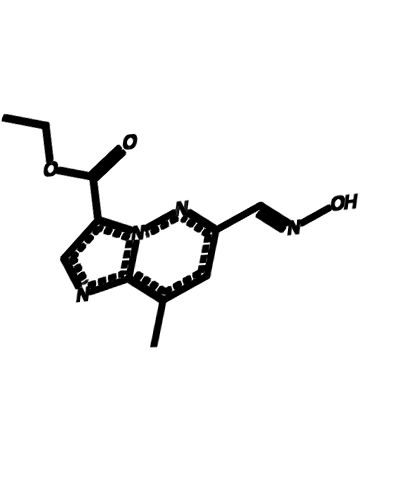 CCOC(=O)c1cnc2c(C)cc(C=NO)nn12